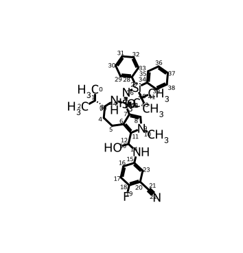 CC(C)[C@H]1CCc2c(cn(C)c2C(O)Nc2ccc(F)c(C#N)c2)S(=O)(=N[Si](c2ccccc2)(c2ccccc2)C(C)(C)C)N1